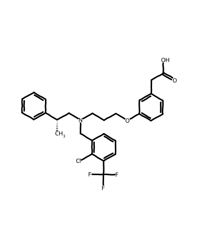 C[C@@H](CN(CCCOc1cccc(CC(=O)O)c1)Cc1cccc(C(F)(F)F)c1Cl)c1ccccc1